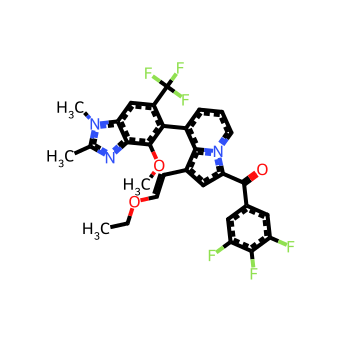 CCOC=Cc1cc(C(=O)c2cc(F)c(F)c(F)c2)n2cccc(-c3c(C(F)(F)F)cc4c(nc(C)n4C)c3OC)c12